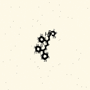 C1=CP=[PH](CCC(CCCC(c2ccccc2)c2ccccc2)c2ccccc2)C1